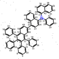 c1ccc(-c2c(-c3ccccc3)c(-c3ccccc3)c3cc(-c4ccc(N(c5ccccc5)c5cccc6ccccc56)c5ccccc45)ccc3c2-c2ccccc2)cc1